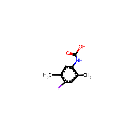 Cc1cc(NC(=O)O)c(C)cc1I